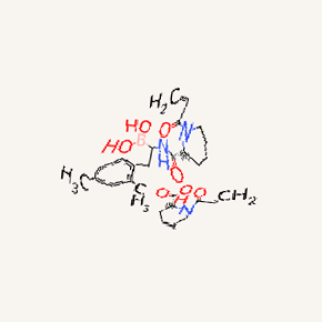 C=CC(=O)N1CCCC[C@@H]1C(=O)NC(Cc1ccc(C)cc1C)B(O)O.C=CC(=O)N1CCCC[C@@H]1C(=O)O